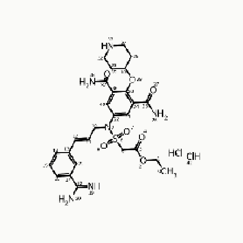 CCOC(=O)CS(=O)(=O)N(C/C=C/c1cccc(C(=N)N)c1)c1cc(C(N)=O)c(OC2CCNCC2)c(C(N)=O)c1.Cl.Cl